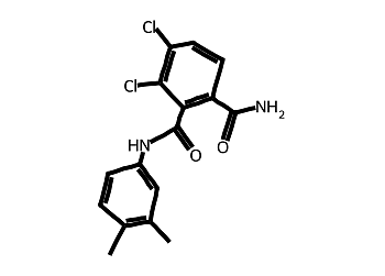 Cc1ccc(NC(=O)c2c(C(N)=O)ccc(Cl)c2Cl)cc1C